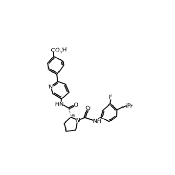 CC(C)c1ccc(NC(=O)N2CCC[C@@H]2C(=O)Nc2ccc(-c3ccc(C(=O)O)cc3)nc2)cc1F